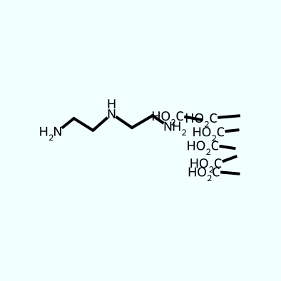 CC(=O)O.CC(=O)O.CC(=O)O.CC(=O)O.CC(=O)O.CC(=O)O.NCCNCCN